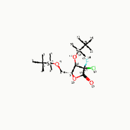 CC(C)(C)[Si](C)(C)OC[C@H]1OC(=O)C(F)(Cl)C1O[Si](C)(C)C(C)(C)C